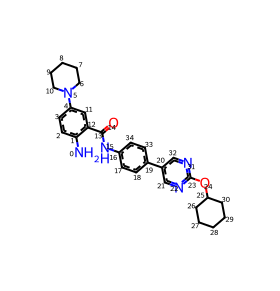 Nc1ccc(N2CCCCC2)cc1C(=O)Nc1ccc(-c2cnc(OC3CCCCC3)nc2)cc1